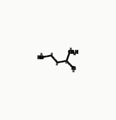 CC[C](CCO)C(=O)O